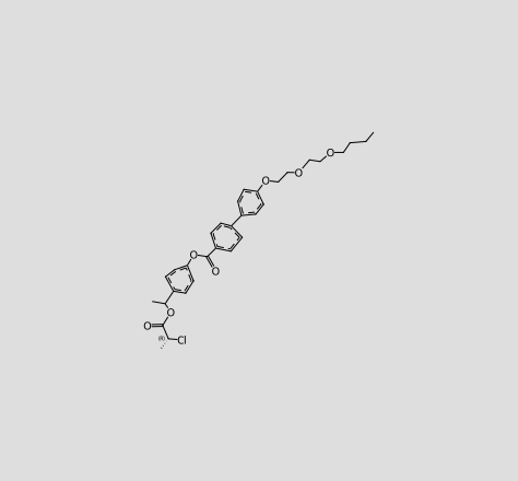 CCCCOCCOCCOc1ccc(-c2ccc(C(=O)Oc3ccc(C(C)OC(=O)[C@@H](C)Cl)cc3)cc2)cc1